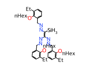 CCCCCCOc1c(CC)cccc1CN=NC([SiH3])=C(N=NCc1cccc(CC)c1OCCCCCC)N=NCc1cccc(CC)c1OCCCCCC